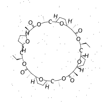 CC[C@H]1C[C@@H]2CC[C@@H](O2)[C@@H](C)C(=O)O[C@H](C)C[C@H]2CC[C@H](O2)[C@H](C)C(=O)O[C@@H](CC)C[C@@H]2CC[C@@H](O2)[C@@H](C)C(=O)O[C@H](C)C[C@H]2CC[C@H](O2)[C@H](C)C(=O)O1